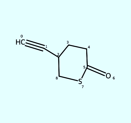 C#CC1CCC(=O)SC1